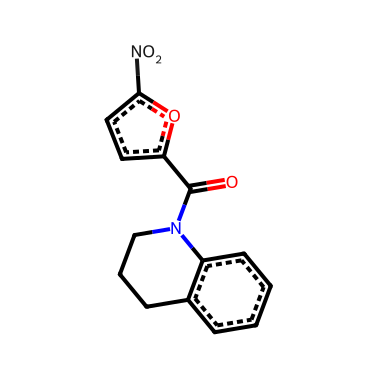 O=C(c1ccc([N+](=O)[O-])o1)N1CCCc2ccccc21